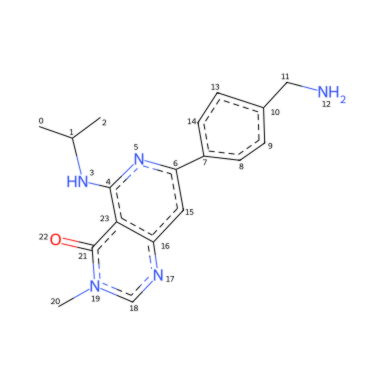 CC(C)Nc1nc(-c2ccc(CN)cc2)cc2ncn(C)c(=O)c12